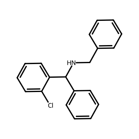 Clc1ccccc1C(NCc1ccccc1)c1ccccc1